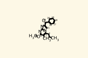 CCCc1c(C)c(OC)nc2nc(C(=O)c3ccccc3)cn12